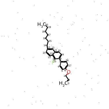 C=CCOc1ccc(-c2ccc3cc(CCCCCCC)ccc3c2F)cc1